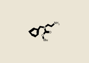 CC(C)(C)OC(=O)N(CCN)Cc1ccccc1